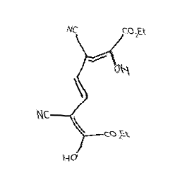 CCOC(=O)C(O)=C(C#N)C=CC(C#N)=C(O)C(=O)OCC